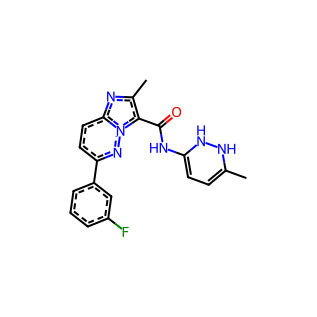 CC1=CC=C(NC(=O)c2c(C)nc3ccc(-c4cccc(F)c4)nn23)NN1